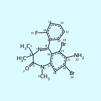 CN1C(=O)C(C)(C)N=C(c2ccccc2F)c2c1cc(Br)c(N)c2Br